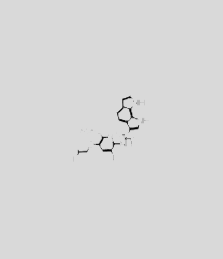 COc1nc(NS(=O)(=O)c2c[nH]c3c2ccc2cc[nH]c23)c(F)cc1OCC(F)F